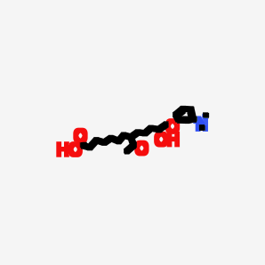 CC(=O)C(CCCCCCC(=O)O)CCCC(O)COc1cccc(N(C)C)c1